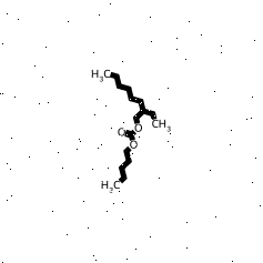 CCCCCCC(CC)COC(=O)OCCCCC